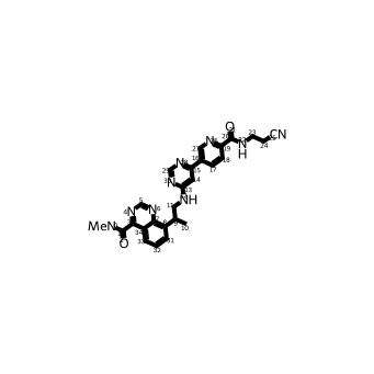 CNC(=O)c1ncnc2c(C(C)CNc3cc(-c4ccc(C(=O)NCCC#N)nc4)ncn3)cccc12